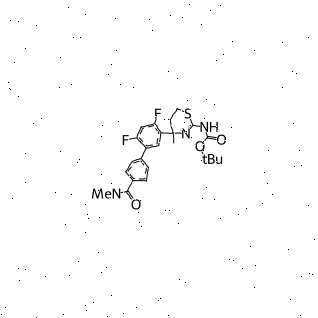 CNC(=O)c1ccc(-c2cc(C3(C)CCSC(NC(=O)OC(C)(C)C)=N3)c(F)cc2F)cc1